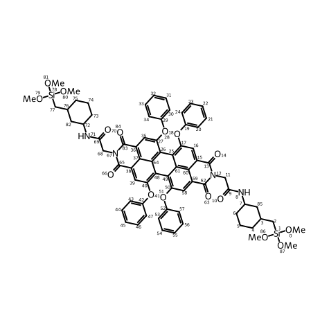 CO[Si](CC1CCCC(NC(=O)CN2C(=O)c3cc(Oc4ccccc4)c4c5c(Oc6ccccc6)cc6c7c(cc(Oc8ccccc8)c(c8c(Oc9ccccc9)cc(c3c48)C2=O)c75)C(=O)N(CC(=O)NC2CCCC(C[Si](OC)(OC)OC)C2)C6=O)C1)(OC)OC